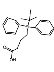 CC(C)(C)[Si](CCCC(=O)O)(c1ccccc1)c1ccccc1